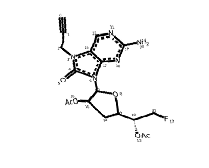 C#CCn1c(=O)n(C2OC([C@H](CF)OC(C)=O)CC2OC(C)=O)c2nc(N)ncc21